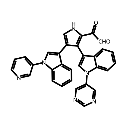 O=CC(=O)c1[nH]cc(-c2cn(-c3cccnc3)c3ccccc23)c1-c1cn(-c2cncnc2)c2ccccc12